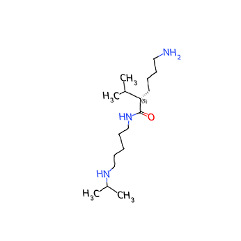 CC(C)NCCCCCNC(=O)[C@@H](CCCCN)C(C)C